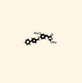 COc1cc(/C=C2\SC(SC)=NC2=O)ccc1OCc1ccc(C2CCCCC2)cc1